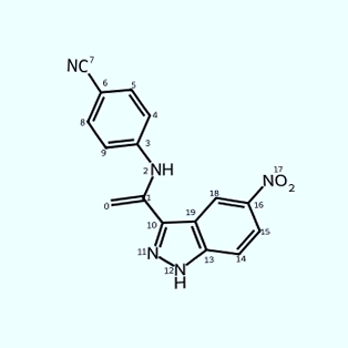 C=C(Nc1ccc(C#N)cc1)c1n[nH]c2ccc([N+](=O)[O-])cc12